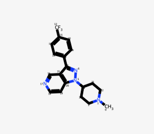 CN1CCC(n2nc(-c3ccc(C(F)(F)F)cc3)c3cnccc32)CC1